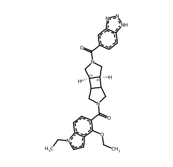 CCOc1c(C(=O)N2CC3C(C2)[C@@H]2CN(C(=O)c4ccc5[nH]nnc5c4)C[C@H]32)ccc2c1ccn2CC